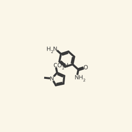 Cn1cccc1C(=O)O.NC(=O)c1ccc(N)cc1